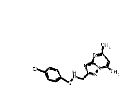 Cc1cc(C)n2nc(CNSc3ccc(Cl)cc3)nc2n1